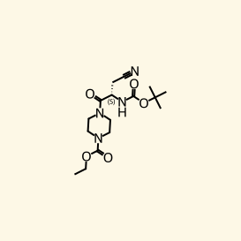 CCOC(=O)N1CCN(C(=O)[C@H](CC#N)NC(=O)OC(C)(C)C)CC1